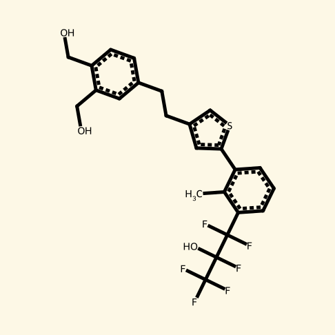 Cc1c(-c2cc(CCc3ccc(CO)c(CO)c3)cs2)cccc1C(F)(F)C(O)(F)C(F)(F)F